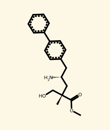 COC(=O)[C@](C)(CO)C[C@H](N)Cc1ccc(-c2ccccc2)cc1